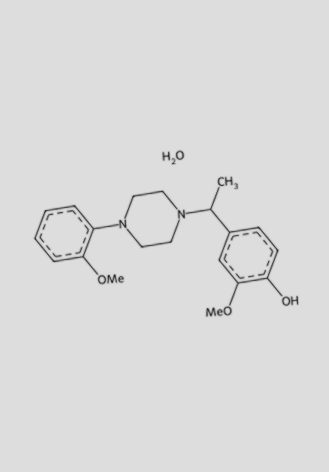 COc1cc(C(C)N2CCN(c3ccccc3OC)CC2)ccc1O.O